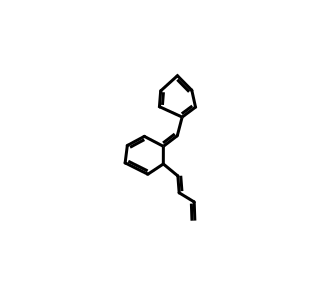 C=CC=CC1C=CC=CC1=Cc1ccccc1